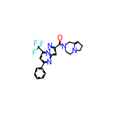 O=C(c1cc2nc(-c3ccccc3)cc(C(F)(F)F)n2n1)N1CCN2CCC=C2C1